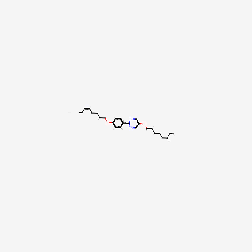 CC/C=C\CCCCOc1ccc(-c2ncc(OCCCCC[C@@H](C)CC)cn2)cc1